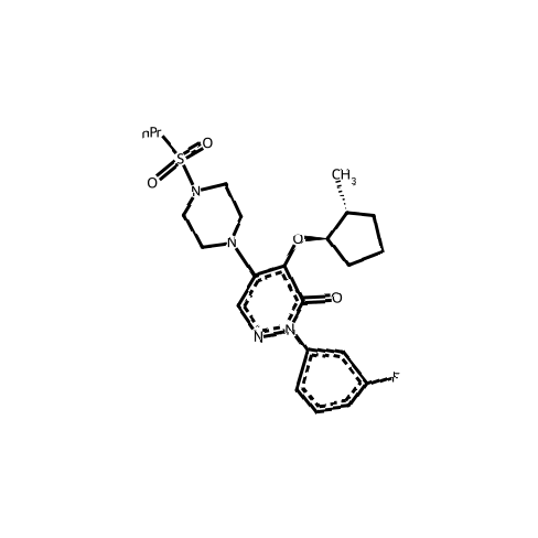 CCCS(=O)(=O)N1CCN(c2cnn(-c3cccc(F)c3)c(=O)c2O[C@@H]2CCC[C@H]2C)CC1